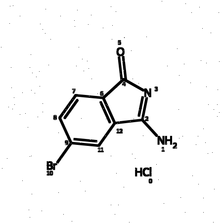 Cl.NC1=NC(=O)c2ccc(Br)cc21